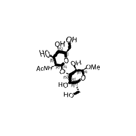 CO[C@@H]1O[C@H](CO)[C@H](O)[C@H](O[C@@H]2O[C@H](CO)[C@@H](O)[C@H](O)[C@H]2NC(C)=O)[C@H]1O